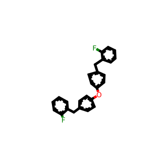 Fc1ccccc1Cc1ccc(Oc2ccc(Cc3ccccc3F)cc2)cc1